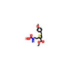 CCOC(=O)c1cc(Cc2ccc(OC)cc2)sc1CCNC(=O)O